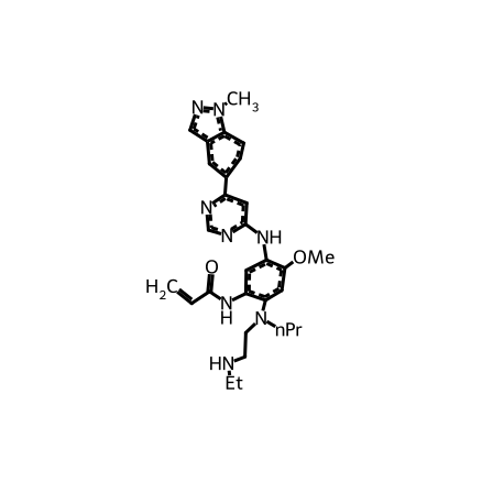 C=CC(=O)Nc1cc(Nc2cc(-c3ccc4c(cnn4C)c3)ncn2)c(OC)cc1N(CCC)CCNCC